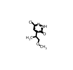 COCC(C)c1cc(Cl)n[nH]c1=O